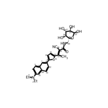 CCN(CC)c1ccc2cc(-c3ccc(/C(C)=C(\C#N)C(=O)NC[C@H]4OC(O)[C@H](O)[C@@H](O)[C@@H]4O)s3)ccc2c1